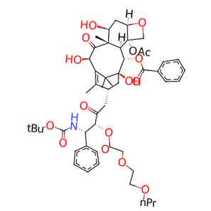 CCCOCCOCC(=O)O[C@@H](C(=O)C[C@H]1C[C@@]2(O)[C@@H](OC(=O)c3ccccc3)[C@@H]3[C@]4(OC(C)=O)CO[C@@H]4C[C@H](O)[C@@]3(C)C(=O)[C@H](O)C(=C1C)C2(C)C)[C@@H](NC(=O)OC(C)(C)C)c1ccccc1